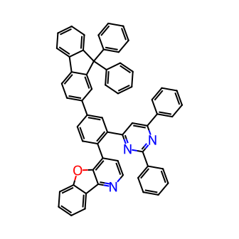 c1ccc(-c2cc(-c3cc(-c4ccc5c(c4)C(c4ccccc4)(c4ccccc4)c4ccccc4-5)ccc3-c3ccnc4c3oc3ccccc34)nc(-c3ccccc3)n2)cc1